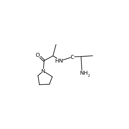 CC(N)CNC(C)C(=O)N1CCCC1